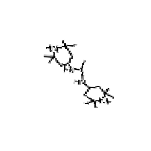 CC(CNC1CC(C)(C)NC(C)(C)C1)NC1CC(C)(C)NC(C)(C)C1